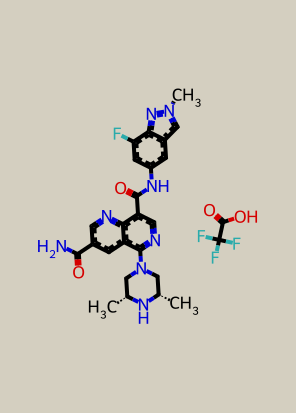 C[C@@H]1CN(c2ncc(C(=O)Nc3cc(F)c4nn(C)cc4c3)c3ncc(C(N)=O)cc23)C[C@H](C)N1.O=C(O)C(F)(F)F